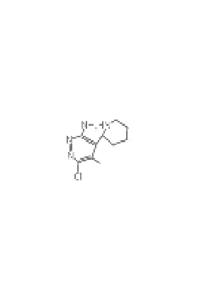 Cc1c(Cl)nnc(N)c1C1C[CH]CCN1